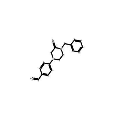 O=Cc1ccc(N2CCN(Cc3ccccc3)C(=O)C2)cc1